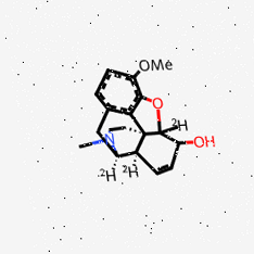 [2H]C12Oc3c(OC)ccc4c3[C@@]13CCN(C)[C@]([2H])(C4)[C@]3([2H])C=CC2O